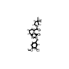 COc1ccc(Cn2nc3n(c2=O)C(C(=O)N2CCC(F)(F)C2)CCC3)cc1Cl